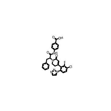 O=C(O)c1ccc(NC(=O)C(Cc2ccccc2)N2CCC(c3c(-n4ccnn4)ccc(Cl)c3F)=CC2=O)cc1